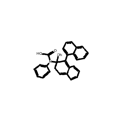 O=C(O)N(c1ccccc1)C1(O)CC=c2ccccc2=C1c1cccc2ccccc12